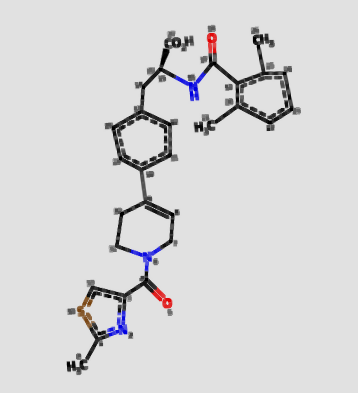 Cc1nc(C(=O)N2CC=C(c3ccc(C[C@H](NC(=O)c4c(C)cccc4C)C(=O)O)cc3)CC2)cs1